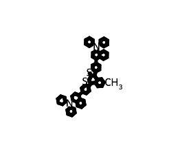 Cc1ccc2c(c1)c1c3ccc(-c4ccc(N(c5ccccc5)c5ccccc5)c5ccccc45)cc3sc1c1sc3cc(C4=CCC(N(C5=CC=CCC5)c5ccccc5)c5ccccc54)ccc3c21